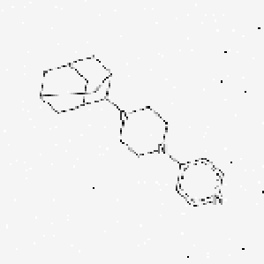 c1cc(N2CCN(C3C4CC5CC(C4)CC3C5)CC2)ccn1